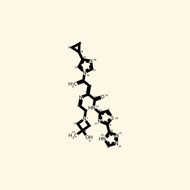 C=C(/C=C(\N=C/CN1CC(C)(O)C1)C(=O)Nc1csc(-c2nnc[nH]2)n1)n1cnc(C2CC2)c1